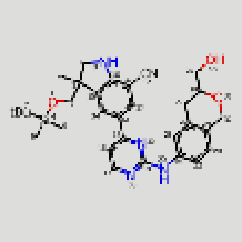 CC1(CO[Si](C)(C)C(C)(C)C)CNc2c(C#N)cc(-c3ccnc(Nc4ccc5c(c4)CC(CO)OC5)n3)cc21